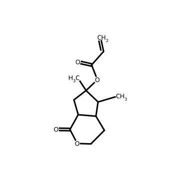 C=CC(=O)OC1(C)CC2C(=O)OCCC2C1C